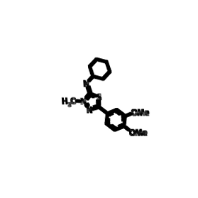 COc1ccc(-c2nn(C)c(=NC3CCCCC3)s2)cc1OC